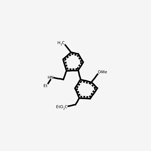 CCNCc1cc(C)ccc1-c1cc(CC(=O)OCC)ccc1OC